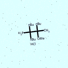 CCCCC(P)(CCCC)C(C)(CCCC)OC.Cl